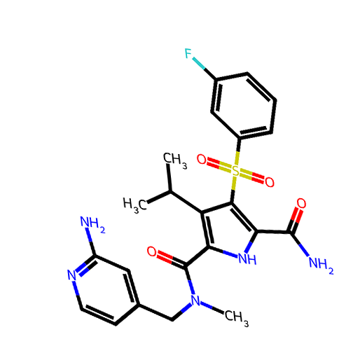 CC(C)c1c(C(=O)N(C)Cc2ccnc(N)c2)[nH]c(C(N)=O)c1S(=O)(=O)c1cccc(F)c1